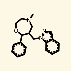 CN1CCOC(c2ccccc2)C(Cn2ncc3ccccc32)C1